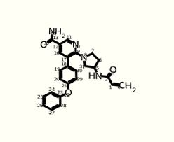 C=CC(=O)NC1CCN(c2ncc(C(N)=O)cc2-c2ccc(Oc3ccccc3)cc2)C1